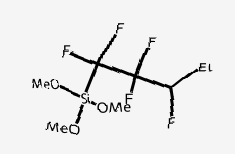 CCC(F)C(F)(F)C(F)(F)[Si](OC)(OC)OC